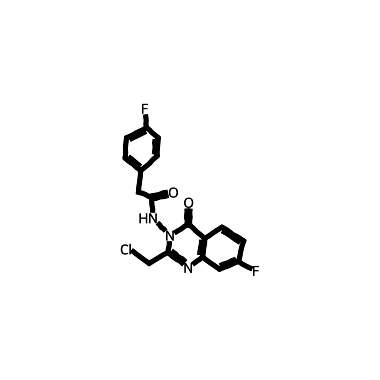 O=C(Cc1ccc(F)cc1)Nn1c(CCl)nc2cc(F)ccc2c1=O